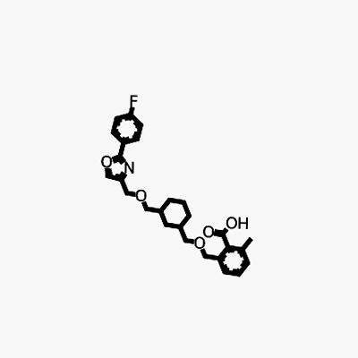 Cc1cccc(COCC2CCCC(COCc3coc(-c4ccc(F)cc4)n3)C2)c1C(=O)O